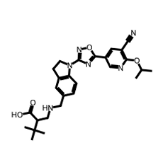 CC(C)Oc1ncc(-c2nc(N3CCc4cc(CNCC(C(=O)O)C(C)(C)C)ccc43)no2)cc1C#N